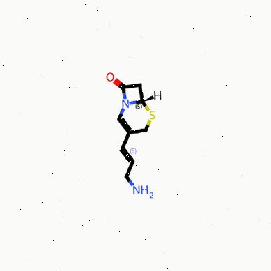 NC/C=C/C1=CN2C(=O)C[C@@H]2SC1